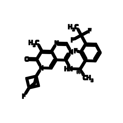 Cc1c(=O)n(C23CC(F)(C2)C3)cc2c(N[C@H](C)c3cccc(C(C)(F)F)c3F)ncnc12